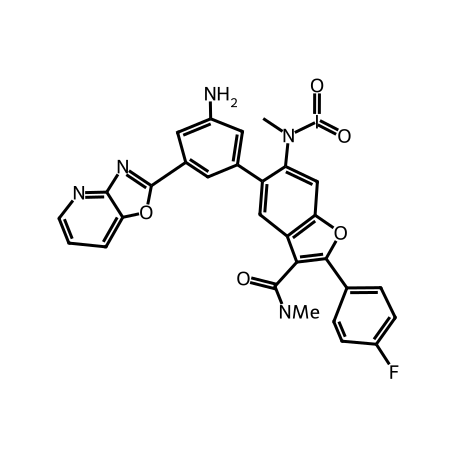 CNC(=O)c1c(-c2ccc(F)cc2)oc2cc(N(C)I(=O)=O)c(-c3cc(N)cc(-c4nc5ncccc5o4)c3)cc12